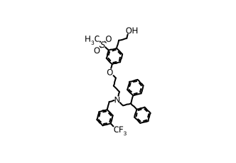 CS(=O)(=O)c1cc(OCCCN(Cc2cccc(C(F)(F)F)c2)CC(c2ccccc2)c2ccccc2)ccc1CCO